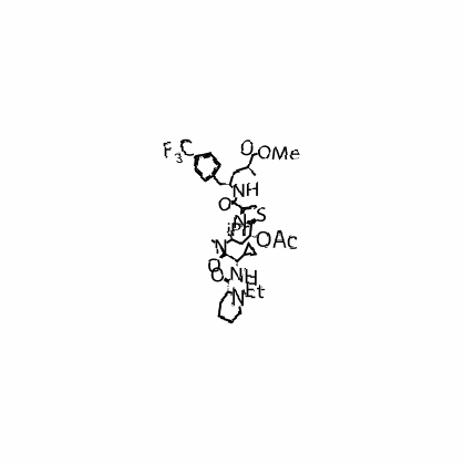 CCN1CCCC[C@@H]1C(=O)N[C@H](C(=O)N(C)[C@H](C[C@@H](OC(C)=O)c1nc(C(=O)N[C@@H](Cc2ccc(C(F)(F)F)cc2)C[C@H](C)C(=O)OC)cs1)C(C)C)C1CC1